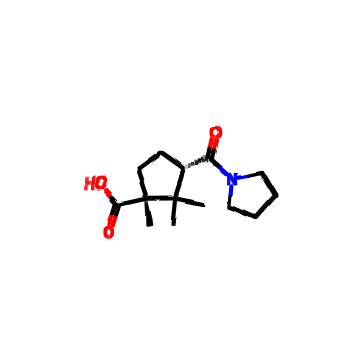 CC1(C)[C@@H](C(=O)N2CCCC2)CC[C@@]1(C)C(=O)O